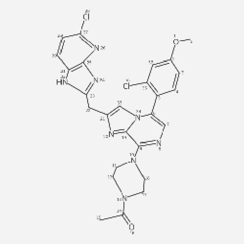 COc1ccc(-c2cnc(N3CCN(C(C)=O)CC3)c3nc(Cc4nc5nc(Cl)ccc5[nH]4)cn23)c(Cl)c1